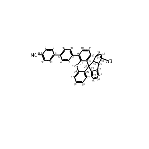 N#Cc1ccc(-c2ccc(-c3cccc4c3Sc3ccccc3C43c4ccccc4C4C(Cl)=CC=CC43)cc2)cc1